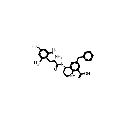 Cc1cc(C)c(C[C@H](N)C(=O)N[C@@H]2CCNc3c(C(=O)O)cc(Cc4ccccc4)cc32)c(C)c1